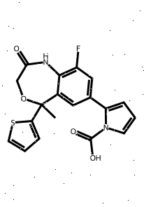 CC1(c2cccs2)OCC(=O)Nc2c(F)cc(-c3cccn3C(=O)O)cc21